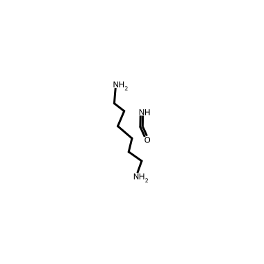 N=C=O.NCCCCCCN